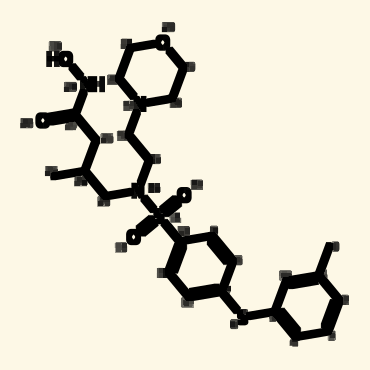 Cc1cccc(Sc2ccc(S(=O)(=O)N(CCN3CCOCC3)CC(C)CC(=O)NO)cc2)c1